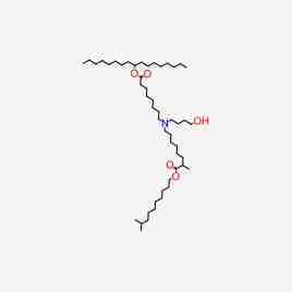 CCCCCCCCC(CCCCCCCC)OC(=O)CCCCCCCN(CCCCO)CCCCCCC(C)C(=O)OCCCCCCCCC(C)C